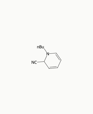 CCCCN1C=CC=CC1C#N